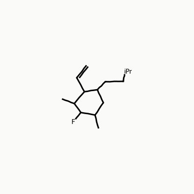 C=CC1C(CCC(C)C)CC(C)C(F)C1C